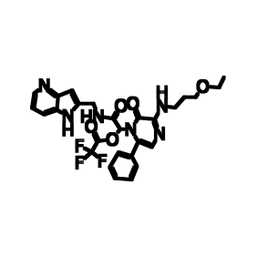 CCOCCCNc1ncc(-c2ccccc2)n(C(OC(=O)C(F)(F)F)C(=O)NCc2cc3ncccc3[nH]2)c1=O